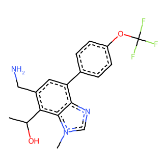 CC(O)c1c(CN)cc(-c2ccc(OC(F)(F)F)cc2)c2ncn(C)c12